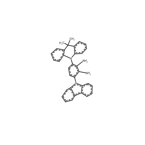 CC1(C)c2ccccc2N(c2ccc(-n3c4ccccc4c4ccccc43)c(N)c2N)c2ccccc21